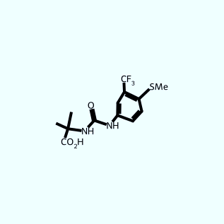 CSc1ccc(NC(=O)NC(C)(C)C(=O)O)cc1C(F)(F)F